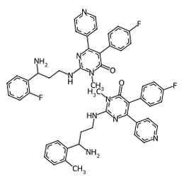 Cc1ccccc1C(N)CCNc1nc(-c2ccncc2)c(-c2ccc(F)cc2)c(=O)n1C.Cn1c(NCCC(N)c2ccccc2F)nc(-c2ccncc2)c(-c2ccc(F)cc2)c1=O